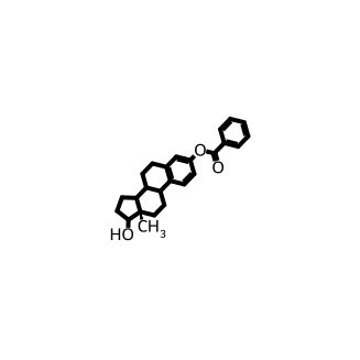 C[C@]12CCC3c4ccc(OC(=O)c5ccccc5)cc4CCC3C1CCC2O